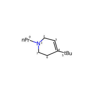 CCCN1CC=C(C(C)(C)C)CC1